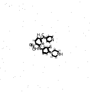 CN(c1ccncc1)c1ccc([N+](=O)[O-])c(Nc2ccc(N3CCNCC3)c(F)c2)n1